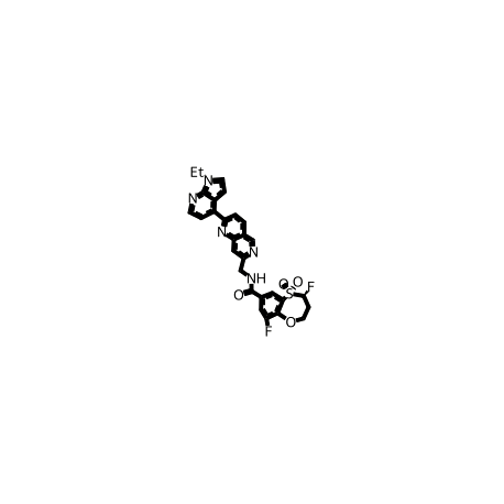 CCn1ccc2c(-c3ccc4cnc(CNC(=O)c5cc(F)c6c(c5)S(=O)(=O)[C@@H](F)CCO6)cc4n3)ccnc21